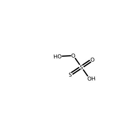 O=S(O)(=S)OO